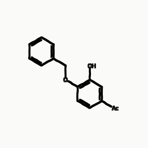 CC(=O)c1ccc(OCc2ccccc2)c(O)c1